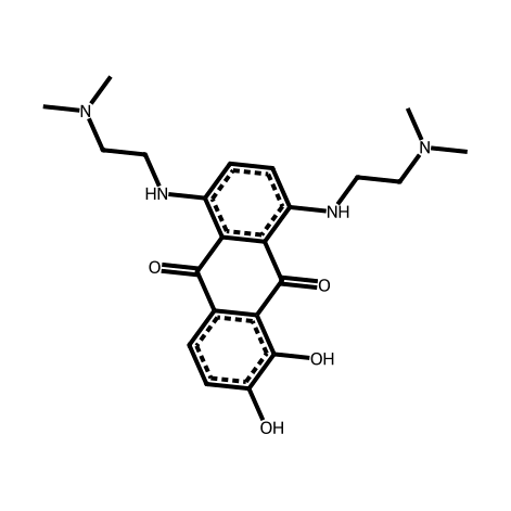 CN(C)CCNc1ccc(NCCN(C)C)c2c1C(=O)c1ccc(O)c(O)c1C2=O